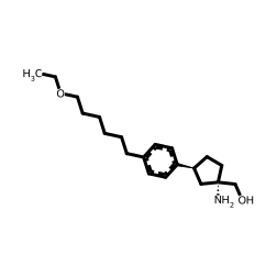 CCOCCCCCCc1ccc([C@H]2CC[C@@](N)(CO)C2)cc1